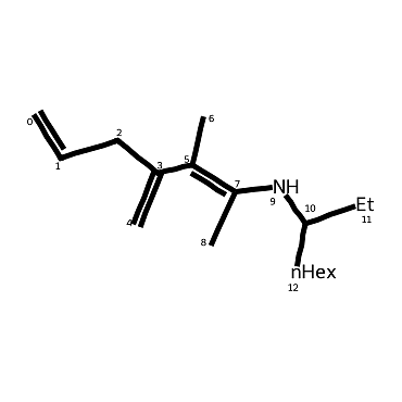 C=CCC(=C)/C(C)=C(\C)NC(CC)CCCCCC